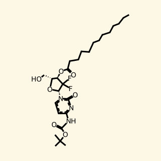 CCCCCCCCCCCCC(=O)O[C@@H]1[C@@H](CO)O[C@@H](n2ccc(NC(=O)OC(C)(C)C)nc2=O)C1(F)F